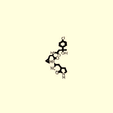 CC(O)(CC(=O)NC(CC1CC1)C(=O)NC(C#N)CC1CCNC1=O)c1ccc(Cl)cc1